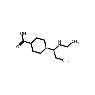 CCN[C@@H](CC)N1CCC(C(=O)O)CC1